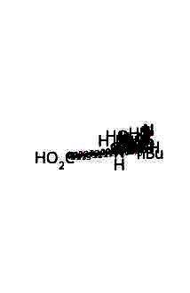 CCCC[C@H](NCC(=O)[C@@H](N)Cc1cnc[nH]1)C(=O)C[C@@H](CCCCNC(=O)CCCCCCCCCCCCCCCCC(=O)O)C(=O)CN[C@@H](CO)C(N)=O